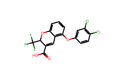 O=C(O)C1=Cc2c(Oc3ccc(Cl)c(Cl)c3)cccc2OC1C(F)(F)F